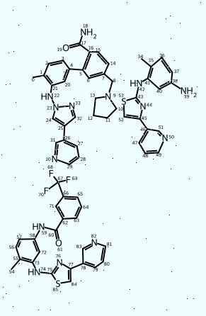 Cc1ccc(-c2cc(CN3CCCC3)ccc2C(N)=O)cc1Nn1cc(-c2cccnc2)cn1.Cc1ccc(N)cc1Nc1nc(-c2cccnc2)cs1.Cc1ccc(NC(=O)c2cccc(C(F)(F)F)c2)cc1Nc1nc(-c2cccnc2)cs1